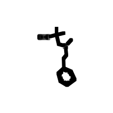 CN(CCc1ccccc1)CC(C)(C)C=O